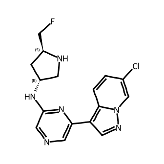 FC[C@@H]1C[C@@H](Nc2cncc(-c3cnn4cc(Cl)ccc34)n2)CN1